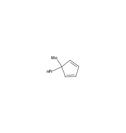 CCC[C]1([Mo])C=CC=C1